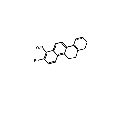 O=[N+]([O-])c1c(Br)ccc2c3c(ccc12)C1=C(CCC=C1)CC3